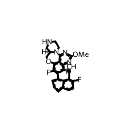 C#Cc1c(F)ccc2cccc(-c3c(F)c4c5c(nc(OC)nc5c3F)N3CCNC[C@H]3CO4)c12